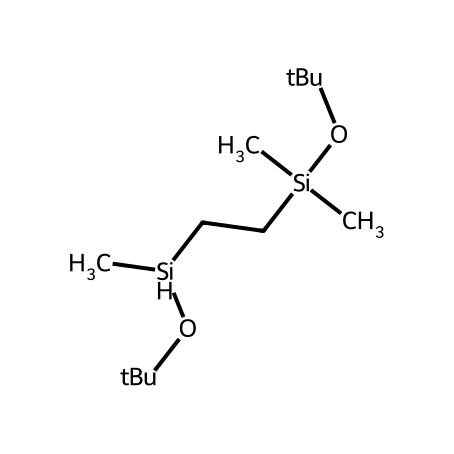 C[SiH](CC[Si](C)(C)OC(C)(C)C)OC(C)(C)C